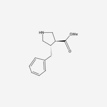 COC(=O)[C@@H]1CNC[C@H]1Cc1ccccc1